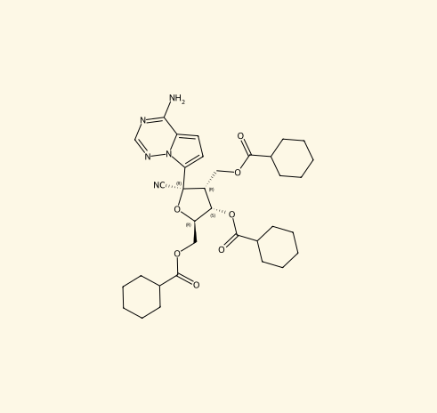 N#C[C@@]1(c2ccc3c(N)ncnn23)O[C@H](COC(=O)C2CCCCC2)[C@@H](OC(=O)C2CCCCC2)[C@H]1COC(=O)C1CCCCC1